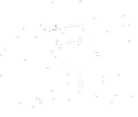 CC(=O)[O-].CC(=O)[O-].CS(C)=O.[Cu+2]